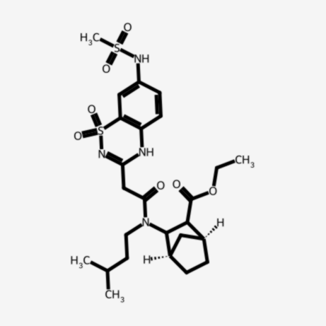 CCOC(=O)C1C(N(CCC(C)C)C(=O)CC2=NS(=O)(=O)c3cc(NS(C)(=O)=O)ccc3N2)[C@@H]2CC[C@H]1C2